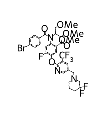 COCC(COC)N(C(=O)c1ccc(Br)cc1)c1cc(F)c(Oc2ncc(CN3CCCC(F)(F)C3)cc2C(F)(F)F)cc1C(=O)OC